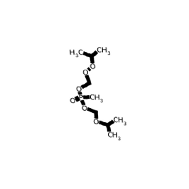 CC(C)OCOP(C)(=O)OCOOC(C)C